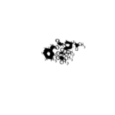 CC(=O)S[C@@H]1CN(C(=O)OCc2ccccc2)[C@@](C)(O[Si](C)(C)C(C)(C)C)C1